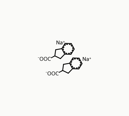 O=C([O-])C1Cc2ccccc2C1.O=C([O-])C1Cc2ccccc2C1.[Na+].[Na+]